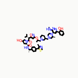 CNc1nnc(-c2ccccc2O)cc1N1CCN(CC2CCCN(CC(C)Oc3cc([C@H](C(=O)N4C[C@H](O)C[C@H]4C(=O)N[C@@H](C)c4ccc(-c5scnc5C)cc4)C(C)C)on3)C2)C[C@@H]1C